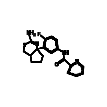 NC1=NC2(c3cc(NC(=O)c4ccccn4)ccc3F)CCCC2CS1